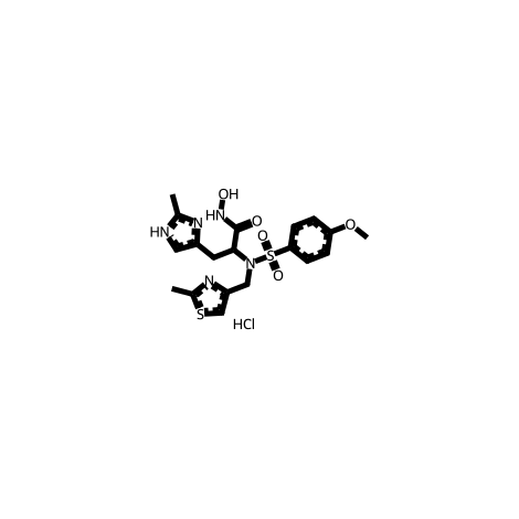 COc1ccc(S(=O)(=O)N(Cc2csc(C)n2)C(Cc2c[nH]c(C)n2)C(=O)NO)cc1.Cl